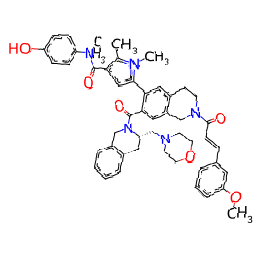 COc1cccc(C=CC(=O)N2CCc3cc(-c4cc(C(=O)N(C)c5ccc(O)cc5)c(C)n4C)c(C(=O)N4Cc5ccccc5C[C@H]4CN4CCOCC4)cc3C2)c1